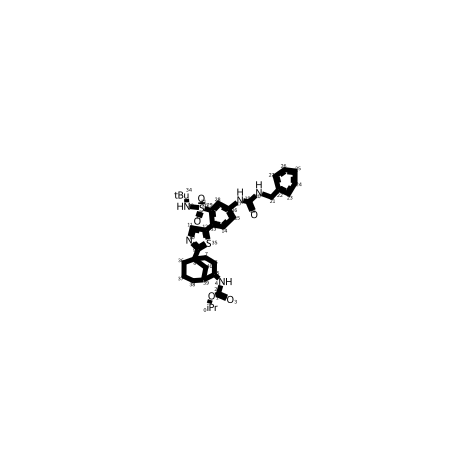 CC(C)OC(=O)NC1CCC2(c3ncc(-c4ccc(NC(=O)NCc5ccccc5)cc4S(=O)(=O)NC(C)(C)C)s3)CCCC1C2